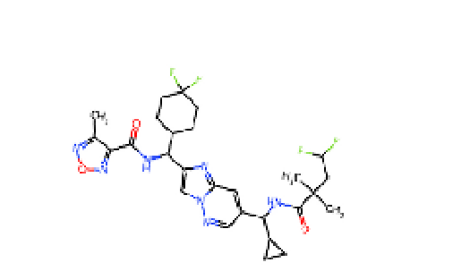 Cc1nonc1C(=O)N[C@H](c1cn2ncc(C(NC(=O)C(C)(C)CC(F)F)C3CC3)cc2n1)C1CCC(F)(F)CC1